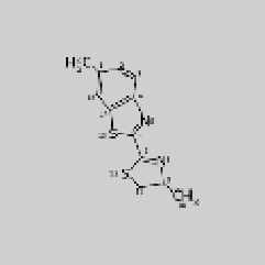 Cc1ccc2nc(C3=NC(C)CS3)sc2c1